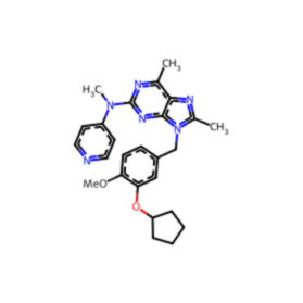 COc1ccc(Cn2c(C)nc3c(C)nc(N(C)c4ccncc4)nc32)cc1OC1CCCC1